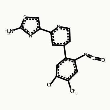 Nc1nc(-c2cc(-c3cc(Cl)c(C(F)(F)F)cc3N=C=O)ccn2)cs1